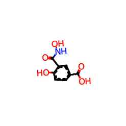 O=C(O)c1ccc(O)c(C(=O)NO)c1